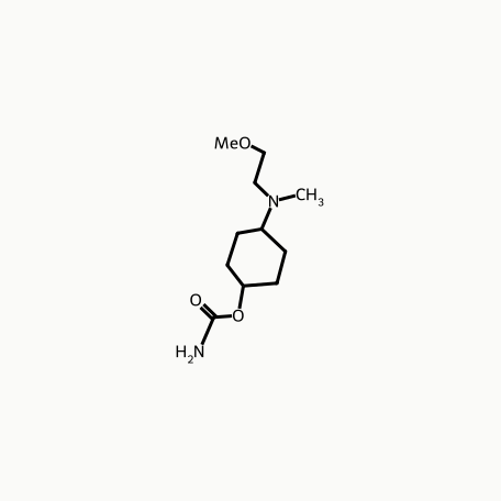 COCCN(C)C1CCC(OC(N)=O)CC1